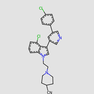 N#CC1CCN(CCn2cc(-c3cncc(-c4ccc(Cl)cc4)c3)c3c(Cl)cccc32)CC1